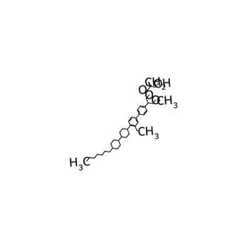 C=C(CO)C(=O)OCC(COC)c1ccc(-c2ccc(C3CCC(C4CCC(CCCCCCC)CC4)CC3)c(CC)c2)cc1